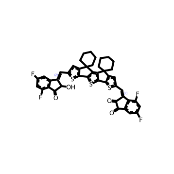 O=C1C(=O)c2cc(F)cc(F)c2/C1=C/c1cc2c(s1)-c1sc3c(c1C21CCCCC1)C1(CCCCC1)c1cc(/C=C2/c4cc(F)cc(F)c4C(=O)C2O)sc1-3